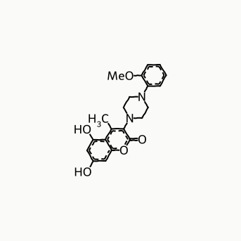 COc1ccccc1N1CCN(c2c(C)c3c(O)cc(O)cc3oc2=O)CC1